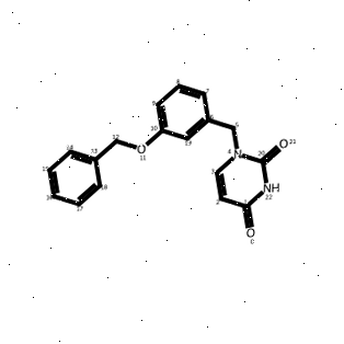 O=c1ccn(Cc2cccc(OCc3ccccc3)c2)c(=O)[nH]1